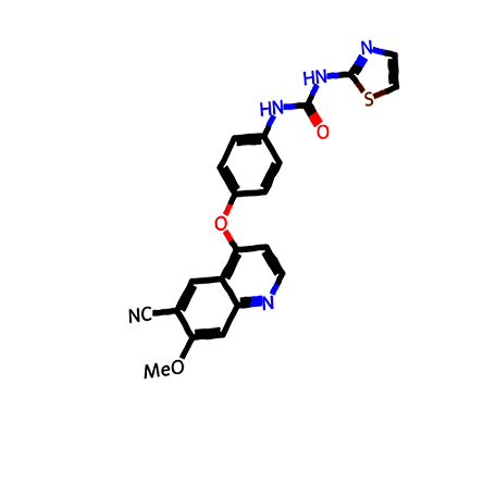 COc1cc2nccc(Oc3ccc(NC(=O)Nc4nccs4)cc3)c2cc1C#N